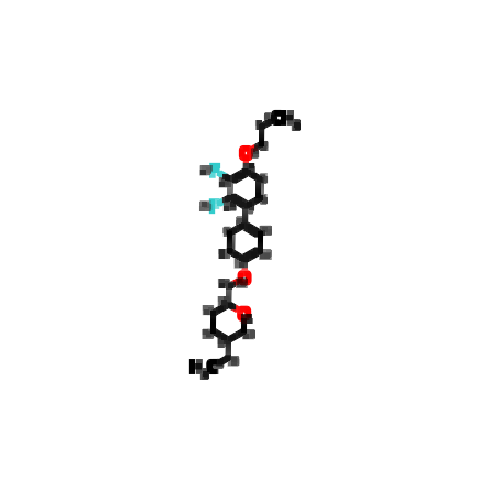 CCCOc1ccc(-c2ccc(OCC3CCC(CC)CO3)cc2)c(F)c1F